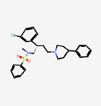 CN(C[C@@H](CCN1CCC(c2ccccc2)CC1)c1cccc(Cl)c1)S(=O)(=O)c1ccccc1